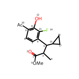 COC(=O)C(C)C(c1ccc(C(C)=O)c(O)c1F)C1CC1